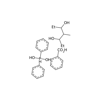 CCC(O)C(C)C(O)CC.O=C(O)c1ccccc1.O[PH](O)(c1ccccc1)c1ccccc1